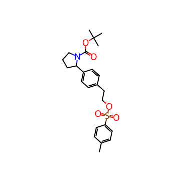 Cc1ccc(S(=O)(=O)OCCc2ccc(C3CCCN3C(=O)OC(C)(C)C)cc2)cc1